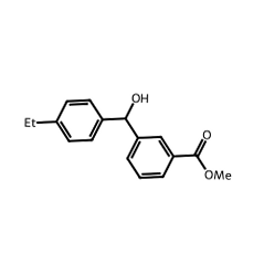 CCc1ccc(C(O)c2cccc(C(=O)OC)c2)cc1